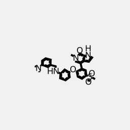 CN(C)c1cccc(CNc2cccc(Oc3ccc(S(C)(=O)=O)cc3-c3cn(C)c(=O)c4[nH]ccc34)c2)c1